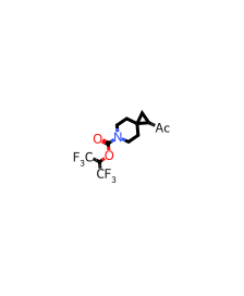 CC(=O)C1CC12CCN(C(=O)OC(C(F)(F)F)C(F)(F)F)CC2